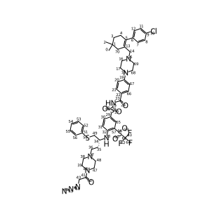 CC1(C)CCC(c2ccc(Cl)cc2)=C(CN2CCN(c3ccc(C(=O)NS(=O)(=O)c4ccc(N[C@H](CCN5CCN(C(=O)CN=[N+]=[N-])CC5)CSc5ccccc5)c(S(=O)(=O)C(F)(F)F)c4)cc3)CC2)C1